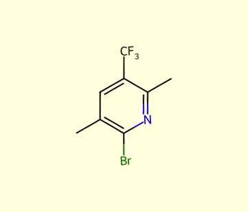 Cc1cc(C(F)(F)F)c(C)nc1Br